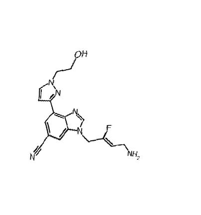 N#Cc1cc(-c2ccn(CCO)n2)c2ncn(CC(F)=CCN)c2c1